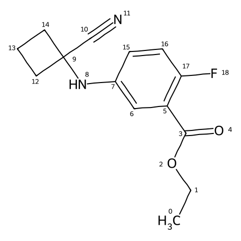 CCOC(=O)c1cc(NC2(C#N)CCC2)ccc1F